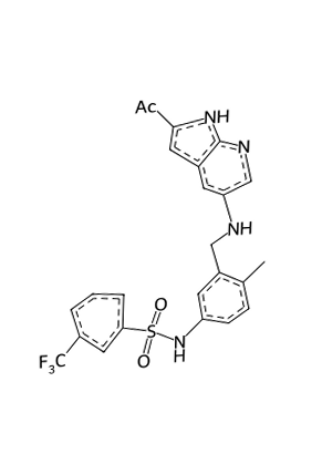 CC(=O)c1cc2cc(NCc3cc(NS(=O)(=O)c4cccc(C(F)(F)F)c4)ccc3C)cnc2[nH]1